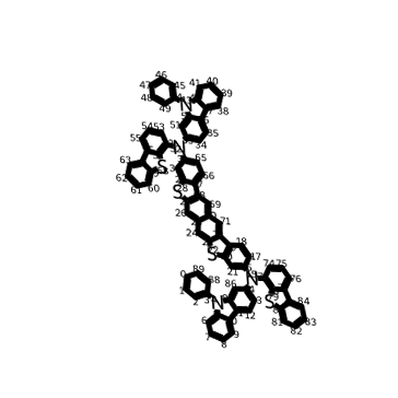 c1ccc(-n2c3ccccc3c3ccc(N(c4ccc5c(c4)sc4cc6cc7sc8cc(N(c9ccc%10c%11ccccc%11n(-c%11ccccc%11)c%10c9)c9cccc%10c9sc9ccccc9%10)ccc8c7cc6cc45)c4cccc5c4sc4ccccc45)cc32)cc1